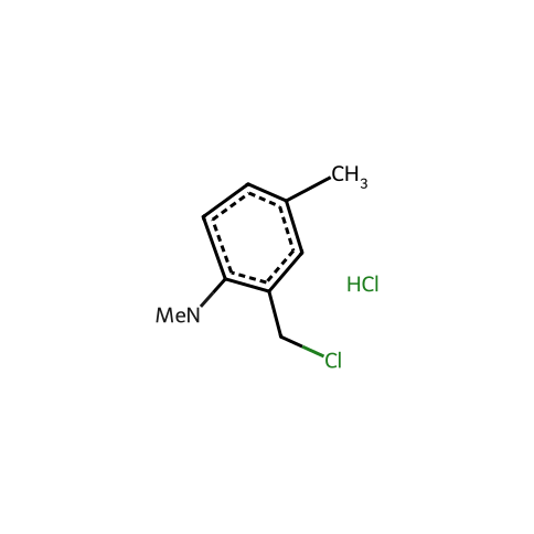 CNc1ccc(C)cc1CCl.Cl